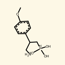 COc1ccc(C(CN)C[PH](O)(O)O)cc1